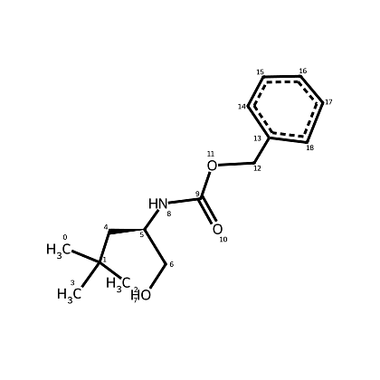 CC(C)(C)C[C@H](CO)NC(=O)OCc1ccccc1